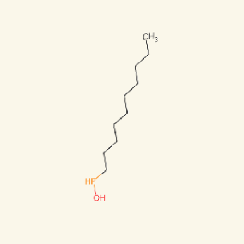 CCCCCCCCCCPO